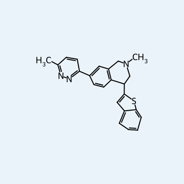 Cc1ccc(-c2ccc3c(c2)CN(C)CC3c2cc3ccccc3s2)nn1